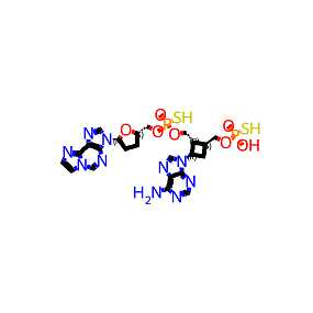 Nc1ncnc2c1ncn2[C@@H]1C[C@H](COP(=O)(O)S)[C@H]1COP(=O)(S)OC[C@@H]1CC[C@H](n2cnc3c2ncn2ccnc32)O1